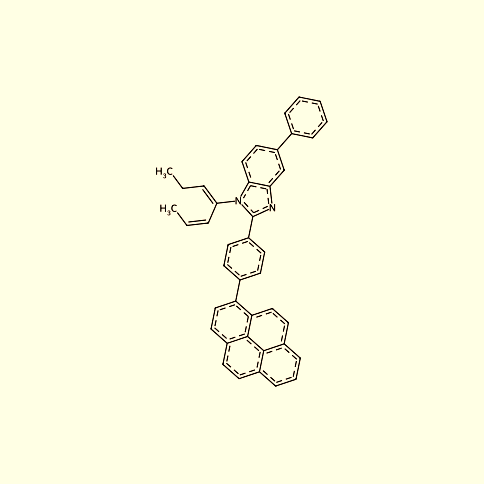 C/C=C\C(=C/CC)n1c(-c2ccc(-c3ccc4ccc5cccc6ccc3c4c56)cc2)nc2cc(-c3ccccc3)ccc21